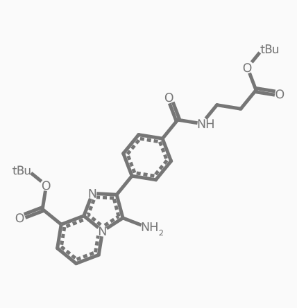 CC(C)(C)OC(=O)CCNC(=O)c1ccc(-c2nc3c(C(=O)OC(C)(C)C)cccn3c2N)cc1